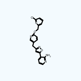 Nc1ncccc1-c1cc(Cc2ccc(OCc3cccc(Cl)n3)nc2)no1